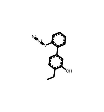 CCc1ccc(-c2ccccc2N=[N+]=[N-])cc1O